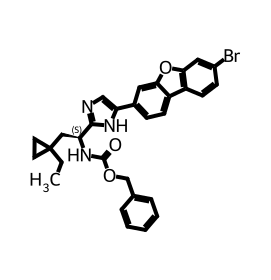 CCC1(C[C@H](NC(=O)OCc2ccccc2)c2ncc(-c3ccc4c(c3)oc3cc(Br)ccc34)[nH]2)CC1